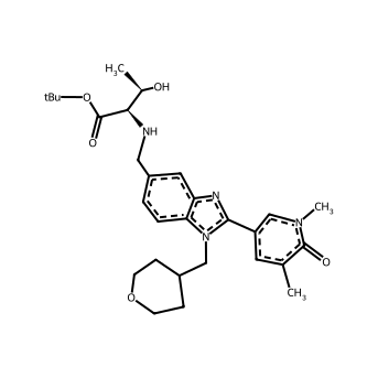 Cc1cc(-c2nc3cc(CN[C@@H](C(=O)OC(C)(C)C)[C@@H](C)O)ccc3n2CC2CCOCC2)cn(C)c1=O